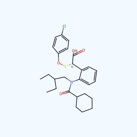 CCC(CC)CN(C(=O)C1CCCCC1)c1ccccc1[C@H](SOc1ccc(Cl)cc1)C(=O)O